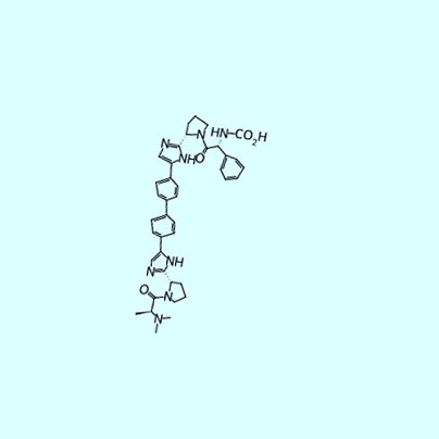 C[C@@H](C(=O)N1CCC[C@H]1c1ncc(-c2ccc(-c3ccc(-c4cnc([C@@H]5CCCN5C(=O)[C@H](NC(=O)O)c5ccccc5)[nH]4)cc3)cc2)[nH]1)N(C)C